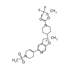 C[C@H](OC(=O)N1CCC([C@]2(C)Cc3cc(C4=CCN(S(C)(=O)=O)CC4)ncc3O2)CC1)C(F)(F)F